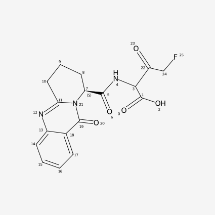 O=C(O)C(NC(=O)[C@@H]1CCCc2nc3ccccc3c(=O)n21)C(=O)CF